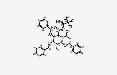 CC(=O)OC(C(OCc1ccccc1)[C@H](OCc1ccccc1)[C@H](C)COCc1ccccc1)[C@H](O)OC(=N)C(Cl)(Cl)Cl